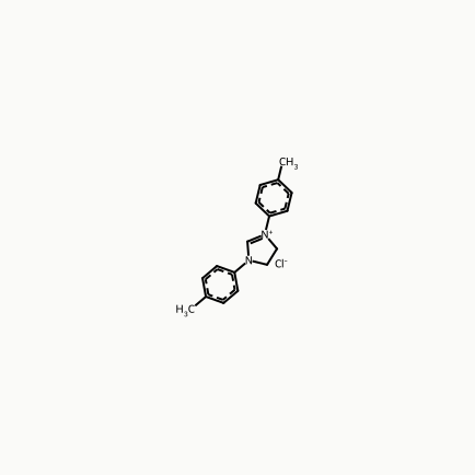 Cc1ccc(N2C=[N+](c3ccc(C)cc3)CC2)cc1.[Cl-]